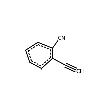 C#Cc1[c]cccc1C#N